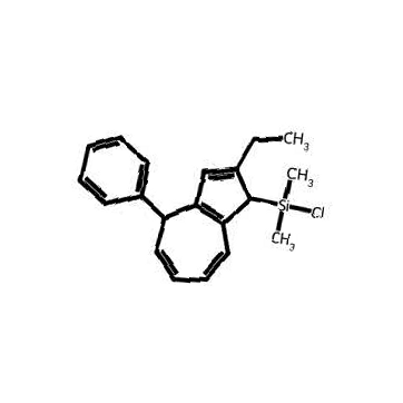 CCC1=CC2=C(C=CC=CC2c2ccccc2)C1[Si](C)(C)Cl